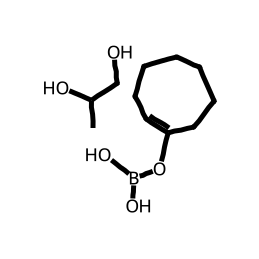 CC(O)CO.OB(O)OC1=CCCCCCC1